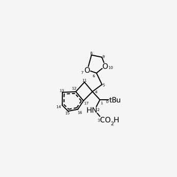 CC(C)(C)C(NC(=O)O)C1(CC2OCCO2)Cc2ccccc21